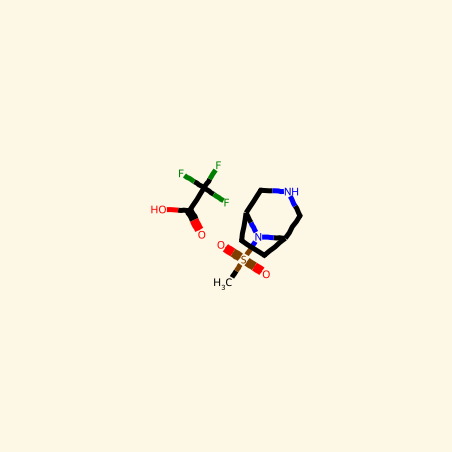 CS(=O)(=O)N1C2CCC1CNC2.O=C(O)C(F)(F)F